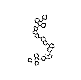 c1ccc(-c2c3ccccc3c(-c3ccc4c(c3)sc3c(-c5ccc6c(-c7ccc8cc(-c9ccc%10sc%11ccc(-c%12c%13ccccc%13c(-c%13ccccc%13)c%13ccccc%12%13)cc%11c%10c9)ccc8c7)cccc6c5)cccc34)c3ccccc23)cc1